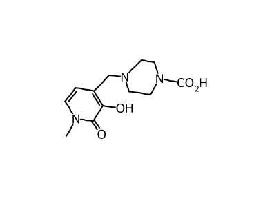 Cn1ccc(CN2CCN(C(=O)O)CC2)c(O)c1=O